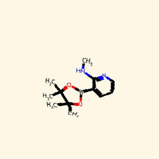 CNc1ncccc1B1OC(C)(C)C(C)(C)O1